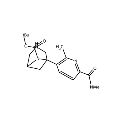 CNC(=O)c1ccc(C23CNCC(C2)N3C(=O)OC(C)(C)C)c(C)n1